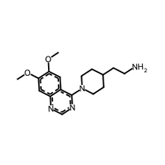 COc1cc2ncnc(N3CCC(CCN)CC3)c2cc1OC